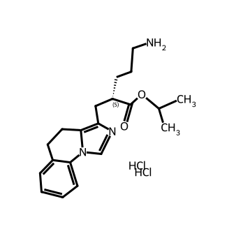 CC(C)OC(=O)[C@@H](CCCN)Cc1ncn2c1CCc1ccccc1-2.Cl.Cl